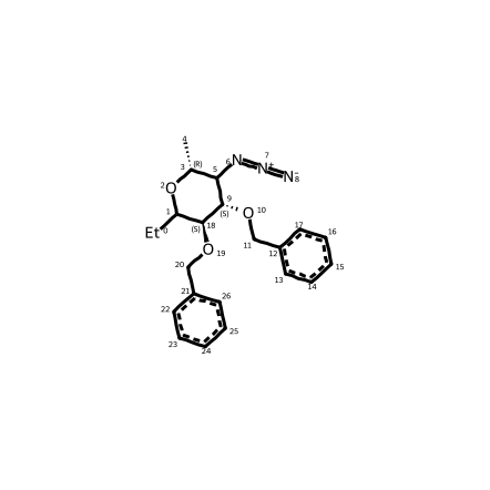 CCC1O[C@H](C)C(N=[N+]=[N-])[C@H](OCc2ccccc2)[C@H]1OCc1ccccc1